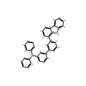 c1ccc(N(c2ccccc2)c2cccc(-c3cccc(-c4cccc5c4oc4ccccc45)c3)c2)cc1